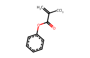 C=C(C(=O)Oc1ccccc1)C(Cl)(Cl)Cl